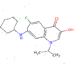 CC(C)n1cc(O)c(=O)c2cc(F)c(NC3CCCCC3)cc21